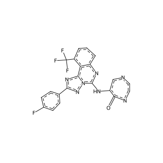 O=c1nccncc1Nc1nc2cccc(C(F)(F)F)c2c2nc(-c3ccc(F)cc3)nn12